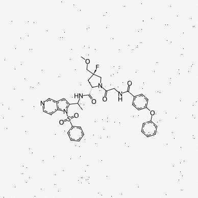 COC[C@@]1(F)C[C@@H](C(=O)NC(C)c2cc3cnccc3n2S(=O)(=O)c2ccccc2)N(C(=O)CNC(=O)c2ccc(Oc3ccccc3)cc2)C1